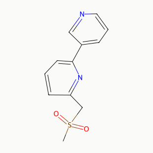 CS(=O)(=O)Cc1cccc(-c2cccnc2)n1